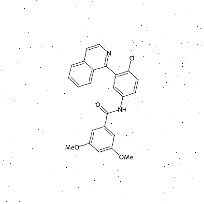 COc1cc(OC)cc(C(=O)Nc2ccc(Cl)c(-c3nccc4ccccc34)c2)c1